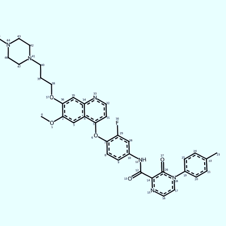 COc1cc2c(Oc3ccc(NC(=O)c4nccn(-c5ccc(C)cc5)c4=O)cc3F)ccnc2cc1OCCCN1CCN(C)CC1